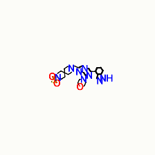 CS(=O)(=O)N1CCC2(CCN(Cc3cn4cc(-c5cccc6[nH]ncc56)nc(N5CCOCC5)c4n3)CC2)CC1